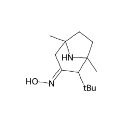 CC12CCC(C)(N1)C(C(C)(C)C)C(=NO)C2